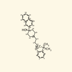 CC(C)(C)c1ccccc1OCCCN1CCC(O)(c2cnc3ccccc3c2)CC1